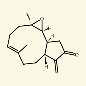 C=C1C(=O)C[C@H]2[C@H]1CC/C(C)=C/CC[C@@]1(C)O[C@@H]21